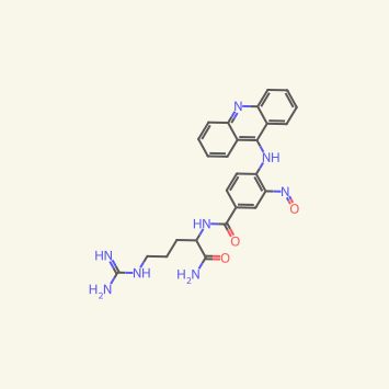 N=C(N)NCCCC(NC(=O)c1ccc(Nc2c3ccccc3nc3ccccc23)c(N=O)c1)C(N)=O